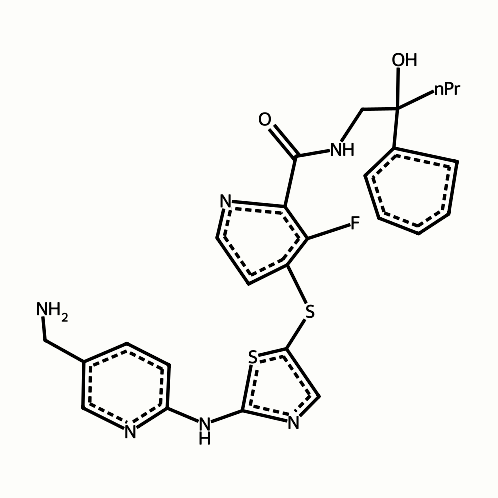 CCCC(O)(CNC(=O)c1nccc(Sc2cnc(Nc3ccc(CN)cn3)s2)c1F)c1ccccc1